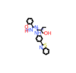 C/C=C(CO)/C(=N/C(=N)c1ccccc1O)Nc1ccc(-c2nc3ccccc3s2)cc1